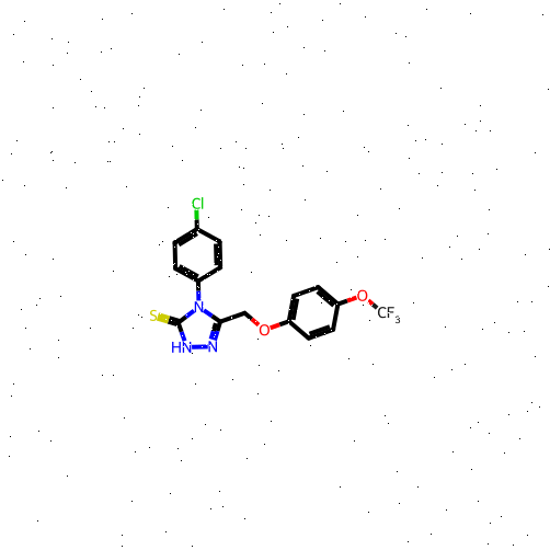 FC(F)(F)Oc1ccc(OCc2n[nH]c(=S)n2-c2ccc(Cl)cc2)cc1